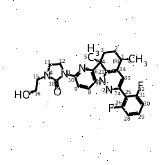 C[C@@H]1CC[C@@](C)(c2cccc(N3CCN(CCO)C3=O)n2)c2nnc(-c3c(F)cccc3F)cc21